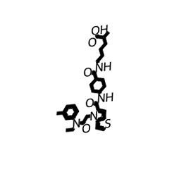 CCN(C(=O)Cn1c(C(=O)NC2CCC(C(=O)NCCCCC(C)C(=O)O)CC2)cc2sccc21)c1cccc(C)c1